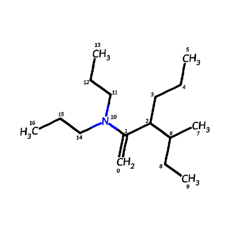 C=C(C(CCC)C(C)CC)N(CCC)CCC